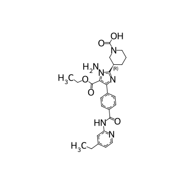 CCOC(=O)c1c(-c2ccc(C(=O)Nc3cc(CC)ccn3)cc2)nc([C@@H]2CCCN(C(=O)O)C2)n1N